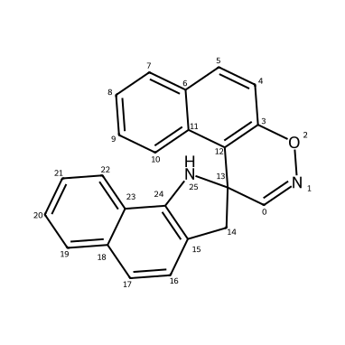 C1=NOc2ccc3ccccc3c2C12Cc1ccc3ccccc3c1N2